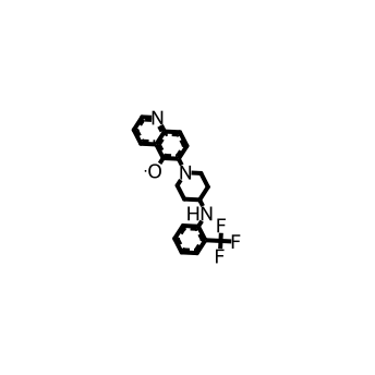 [O]c1c(N2CCC(Nc3ccccc3C(F)(F)F)CC2)ccc2ncccc12